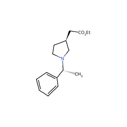 CCOC(=O)C[C@@H]1CCN([C@H](C)c2ccccc2)C1